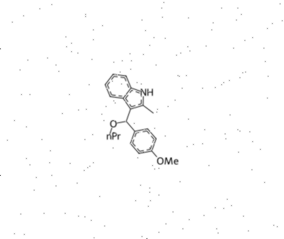 CCCOC(c1ccc(OC)cc1)c1c(C)[nH]c2ccccc12